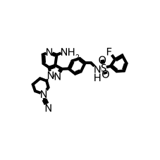 N#CN1CCC[C@@H](n2nc(-c3ccc(CNS(=O)(=O)c4ccccc4F)cc3)c3c(N)nccc32)C1